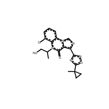 CC(CO)n1c(=O)c2c(-c3noc(C4(C)CC4)n3)ncn2c2cccc(Cl)c21